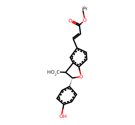 CC(C)OC(=O)/C=C/c1ccc2c(c1)C(C(=O)O)[C@@H](c1ccc(O)cc1)O2